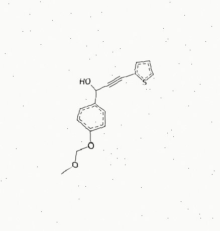 COCOc1ccc(C(O)C#Cc2cccs2)cc1